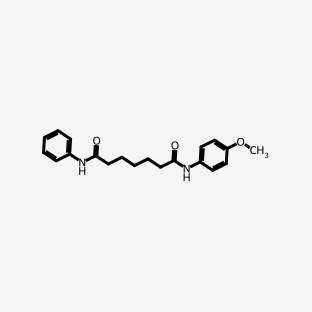 COc1ccc(NC(=O)CCCCCC(=O)Nc2ccccc2)cc1